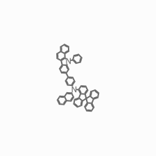 c1ccc(-n2c3cc(-c4ccc(N(c5ccc6ccccc6c5)c5cccc6c5-c5ccccc5C65c6ccccc6-c6ccccc65)cc4)ccc3c3ccc4ccccc4c32)cc1